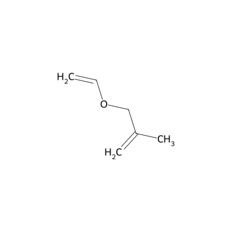 C=COCC(=C)C